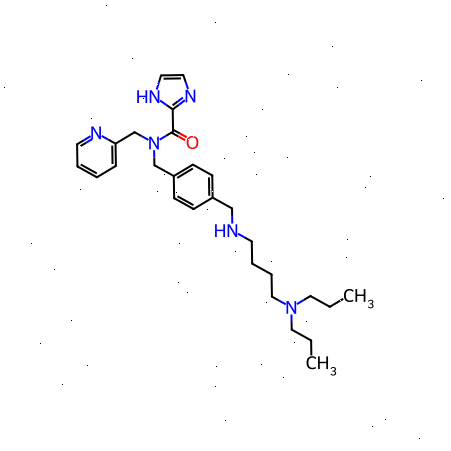 CCCN(CCC)CCCCNCc1ccc(CN(Cc2ccccn2)C(=O)c2ncc[nH]2)cc1